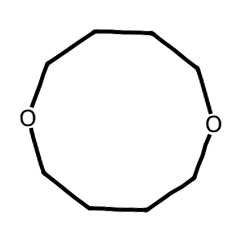 C1CCOCCCCOC1